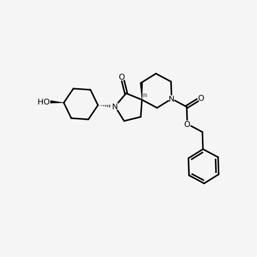 O=C(OCc1ccccc1)N1CCC[C@]2(CCN([C@H]3CC[C@H](O)CC3)C2=O)C1